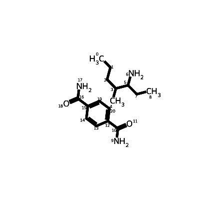 CCCC(C)C(N)CC.NC(=O)c1ccc(C(N)=O)cc1